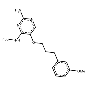 CCCCNc1nc(N)ncc1OCCCc1cccc(OC)c1